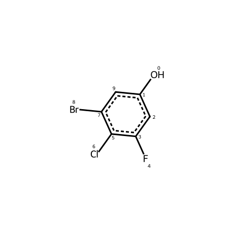 Oc1cc(F)c(Cl)c(Br)c1